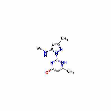 Cc1cc(NC(C)C)n(-c2nc(=O)cc(C)[nH]2)n1